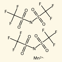 O=S(=O)([N-]S(=O)(=O)C(F)(F)F)C(F)(F)F.O=S(=O)([N-]S(=O)(=O)C(F)(F)F)C(F)(F)F.[Mn+2]